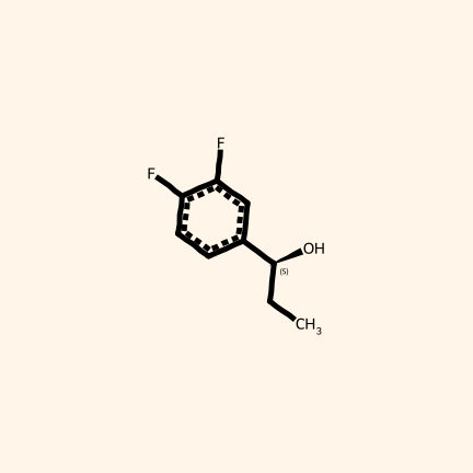 CC[C@H](O)c1ccc(F)c(F)c1